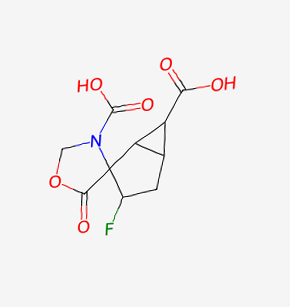 O=C(O)C1C2CC(F)C3(C(=O)OCN3C(=O)O)C21